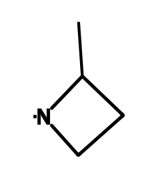 CC1CC[N]1